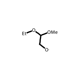 CCOC(C[O])OC